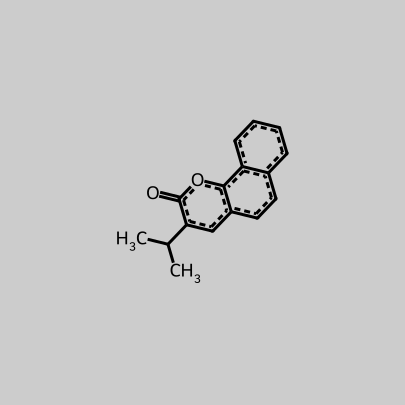 CC(C)c1cc2ccc3ccccc3c2oc1=O